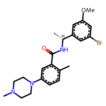 COc1cc(Br)cc([C@@H](C)NC(=O)c2cc(N3CCN(C)CC3)ccc2C)c1